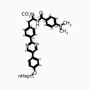 CCCCCCCOc1ccc(-c2cnc(-c3ccc(CC(NC(=O)c4ccc(N(C)C)cc4)C(=O)O)cc3)nc2)cc1